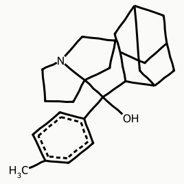 Cc1ccc(C(O)(C2C3CC4CC(C3)CC2C4)C23CCCN2CCC3)cc1